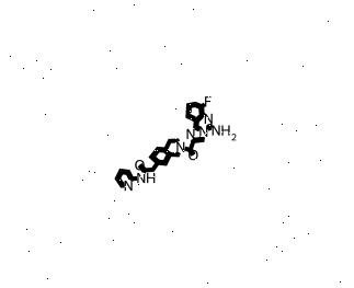 Nc1nc2c(F)cccc2c2nc(C(=O)N3CCc4ccc(CC(=O)Nc5ccccn5)cc4C3)cn12